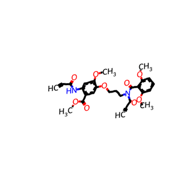 C#CC(=O)Nc1cc(OC)c(OCCCN(C(=O)C#C)C(=O)c2c(OC)cccc2OC)cc1C(=O)OC